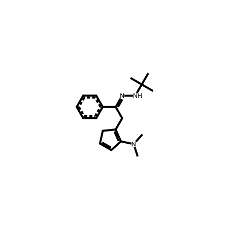 CN(C)C1=C(CC(=NNC(C)(C)C)c2ccccc2)CC=C1